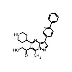 Nc1c(C(=O)CO)c(C2CCNCC2)nc2c(-c3ccc(-c4ccccc4)nc3)cnn12